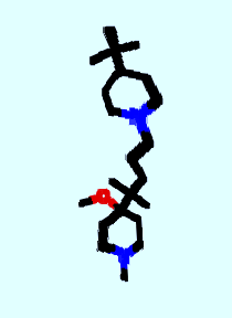 COC1(C(C)(C)CCCN2CCC(C(C)(C)C)CC2)CCN(C)CC1